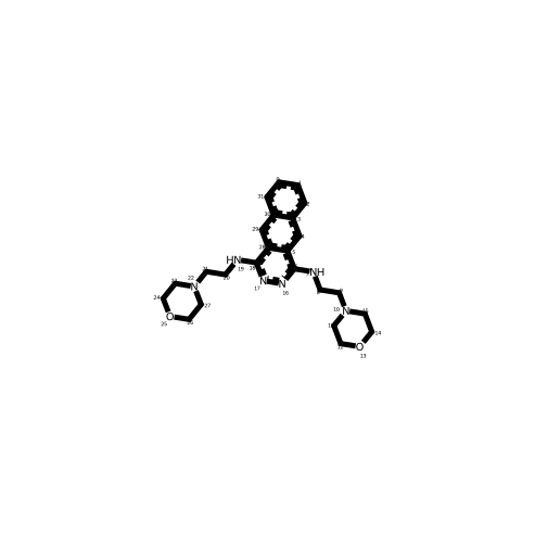 c1ccc2cc3c(NCCN4CCOCC4)nnc(NCCN4CCOCC4)c3cc2c1